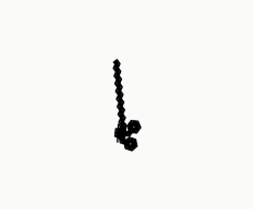 CCCCCCCCCCCCCCCCCC[n+]1ccn(Cc2ccccc2)c1Cc1ccccc1